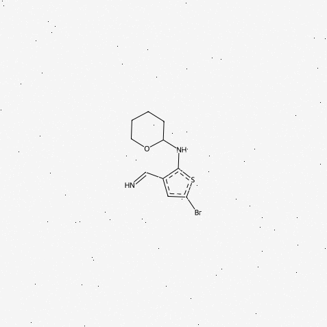 N=Cc1cc(Br)sc1NC1CCCCO1